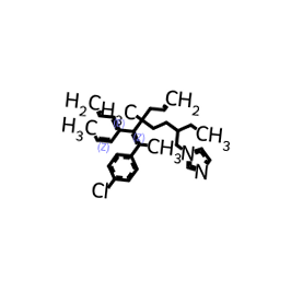 C=C/C=C(\C=C/C)C(=C(/C)c1ccc(Cl)cc1)/C(C)(CC=C)CCC(CC)Cn1ccnc1